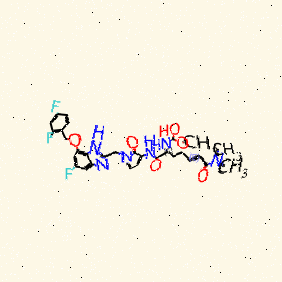 COC(O)N[C@@H](CC/C=C/C(=O)N(C)C)C(=O)Nc1cccn(Cc2nc3cc(F)cc(OCc4ccc(F)cc4F)c3[nH]2)c1=O